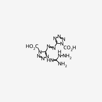 N=C(N)NN.O=C(O)n1nnnc1N=Nc1nnnn1C(=O)O